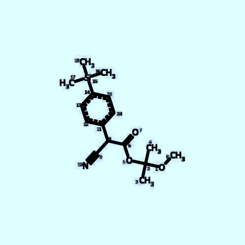 COC(C)(C)OC(=O)C(C#N)c1ccc([Si](C)(C)C)cc1